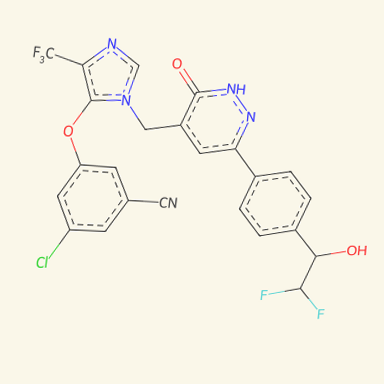 N#Cc1cc(Cl)cc(Oc2c(C(F)(F)F)ncn2Cc2cc(-c3ccc(C(O)C(F)F)cc3)n[nH]c2=O)c1